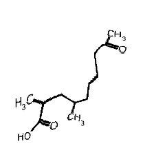 CC(=O)CCCCC(C)CC(C)C(=O)O